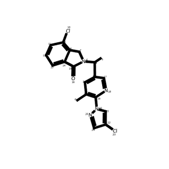 Cc1cc(C(C)N2Cc3c(Cl)cccc3C2=O)cnc1-n1cc(Cl)cn1